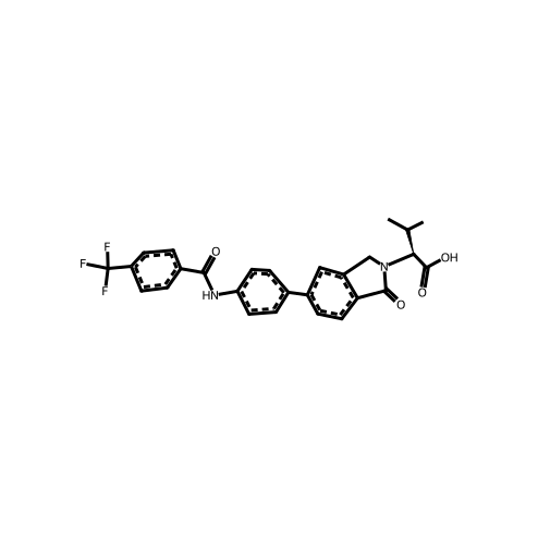 CC(C)[C@@H](C(=O)O)N1Cc2cc(-c3ccc(NC(=O)c4ccc(C(F)(F)F)cc4)cc3)ccc2C1=O